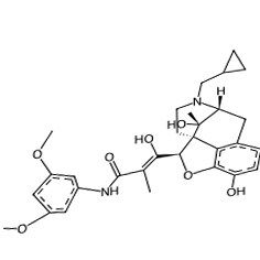 COc1cc(NC(=O)/C(C)=C(\O)[C@@H]2Oc3c(O)ccc4c3[C@@]23CCN(CC2CC2)[C@H](C4)[C@@]3(C)O)cc(OC)c1